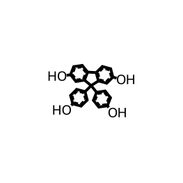 Oc1ccc(C2(c3ccc(O)cc3)c3cc(O)ccc3-c3ccc(O)cc32)cc1